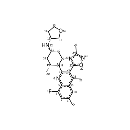 Cc1cc(F)c2nc(N3CC[C@H](N[C@@H]4CCOC4)C[C@H]3C)c(-c3nc(C)no3)c(C)c2c1